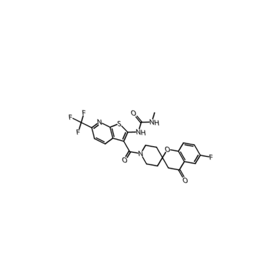 CNC(=O)Nc1sc2nc(C(F)(F)F)ccc2c1C(=O)N1CCC2(CC1)CC(=O)c1cc(F)ccc1O2